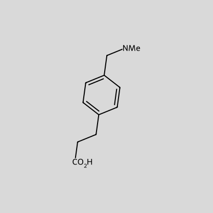 CNCc1ccc(CCC(=O)O)cc1